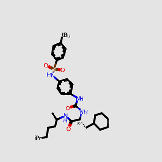 CC(C)CCCC(C)NC(=O)[C@@H](CC1CCCCC1)NC(=O)Nc1ccc(NS(=O)(=O)c2ccc(C(C)(C)C)cc2)cc1